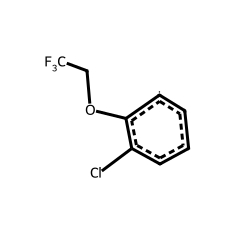 FC(F)(F)COc1[c]cccc1Cl